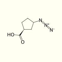 [N-]=[N+]=NC1CC[C@H](C(=O)O)C1